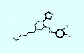 CCCCCN1CCC(c2ccsc2)C(COc2ccc(Cl)c(Cl)c2)C1